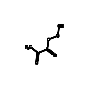 O=C(S(=O)OOO)C(F)(F)F